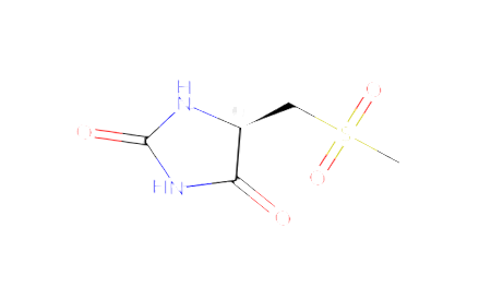 CS(=O)(=O)C[C@@H]1NC(=O)NC1=O